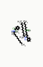 CCCCCCCCCCCC(C)(C)NC(Cl)(Cl)c1ccccc1.CCCCCCCCCCCCC(NC(C)(C)CCCCCCCCCCC)c1ccccc1.Cl.Cl